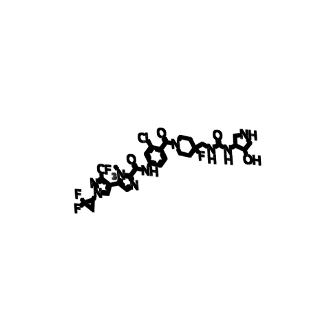 Cn1c(-c2cn(C3CC3(F)F)nc2C(F)(F)F)cnc1C(=O)Nc1ccc(C(=O)N2CCC(F)(CNC(=O)NC3CNCC3O)CC2)c(Cl)c1